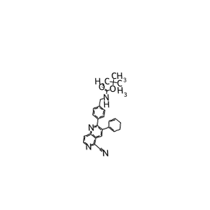 CC(C)(C)OC(=O)NCc1ccc(-c2nc3ccnc(C#N)c3cc2C2=CCCC=C2)cc1